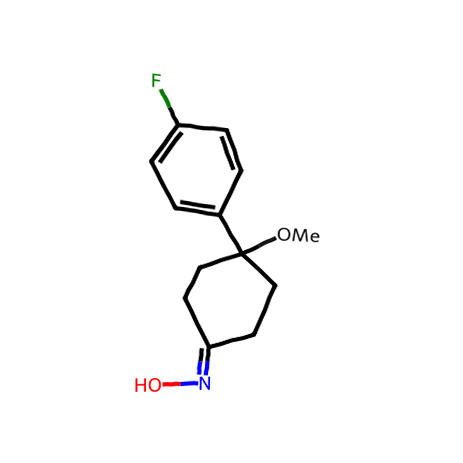 COC1(c2ccc(F)cc2)CCC(=NO)CC1